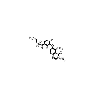 CCCS(=O)(=O)Nc1ccc(F)c(Oc2ccc3ncn(C)c(=O)c3c2C)c1F